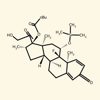 CCCCC(=O)O[C@]1(C(=O)CO)[C@@H](C)C[C@H]2[C@@H]3CCC4=CC(=O)C=C[C@]4(C)[C@@]3(F)[C@@H](O[Si](C)(C)C)C[C@@]21C